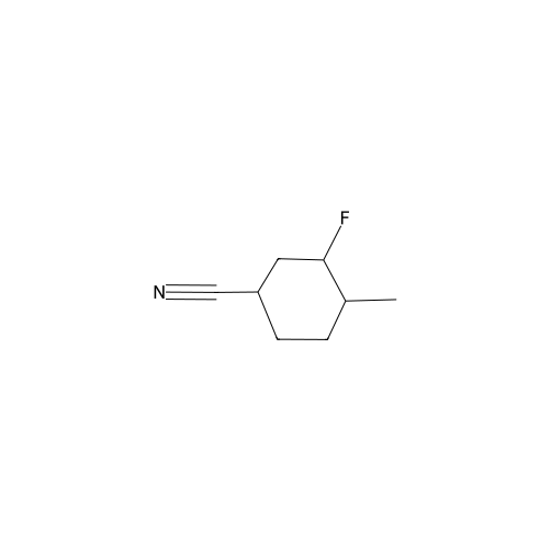 CC1CCC(C#N)CC1F